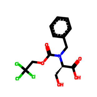 O=C(O)[C@H](CO)N(Cc1ccccc1)C(=O)OCC(Cl)(Cl)Cl